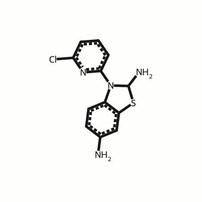 Nc1ccc2c(c1)SC(N)N2c1cccc(Cl)n1